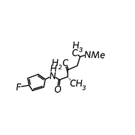 C=C(CC(C)NC)[C@H](C)C(=O)Nc1ccc(F)cc1